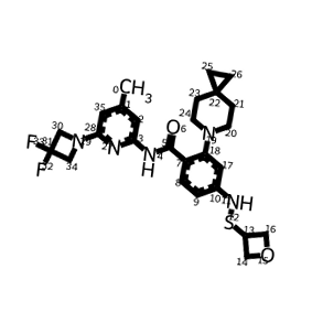 Cc1cc(NC(=O)c2ccc(NSC3COC3)cc2N2CCC3(CC2)CC3)nc(N2CC(F)(F)C2)c1